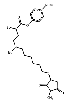 CCN(CCCCCCSC1CC(=O)C(C)C1=O)CCN(CC)C(=O)Oc1ccc(NC(C)=O)cc1